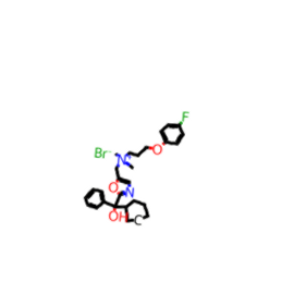 C[N+](C)(CCCOc1ccc(F)cc1)Cc1cnc(C(O)(c2ccccc2)C2CCCCC2)o1.[Br-]